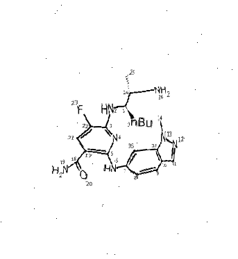 CCCC[C@@H](Nc1nc(Nc2ccc3cnn(C)c3c2)c(C(N)=O)cc1F)[C@H](C)N